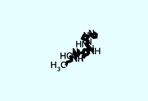 CCCCC(O)Nc1cncc(-c2cc3c(-c4nc5c(-c6ccccn6)nccc5[nH]4)n[nH]c3cc2F)c1